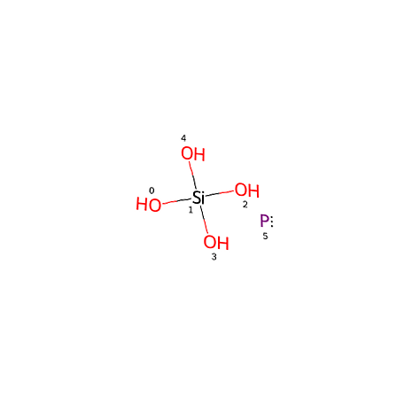 O[Si](O)(O)O.[P]